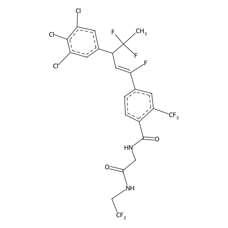 CC(F)(F)C(/C=C(\F)c1ccc(C(=O)NCC(=O)NCC(F)(F)F)c(C(F)(F)F)c1)c1cc(Cl)c(Cl)c(Cl)c1